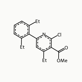 CCc1cc(-c2c(CC)cccc2CC)nc(Cl)c1C(=O)OC